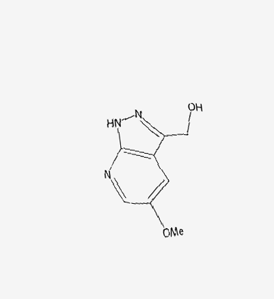 COc1cnc2[nH]nc(CO)c2c1